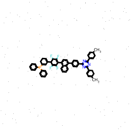 CC1=CC=C(c2nc(C3=CCC(C)C=C3)nc(-c3ccc(-c4ccc(C5=C(F)C(F)C(C6=CCCC(P(c7ccccc7)c7ccccc7)=C6)C(F)=C5F)c5ccccc45)cc3)n2)CC1